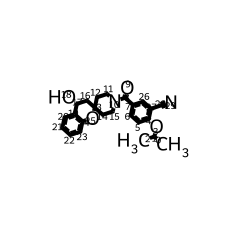 CC(C)Oc1ccc(C(=O)N2CCC3(CC2)CC(O)c2ccccc2O3)cc1C#N